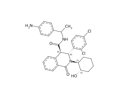 CC(NC(=O)[C@@H]1c2ccccc2C(=O)N([C@H]2CCCC[C@@H]2O)[C@H]1c1ccc(Cl)cc1Cl)c1ccc(N)cc1